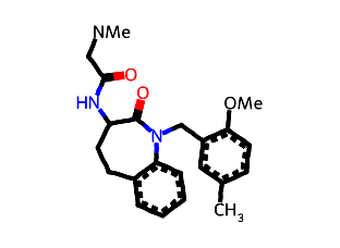 CNCC(=O)NC1CCc2ccccc2N(Cc2cc(C)ccc2OC)C1=O